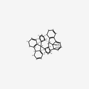 CC12CC=CC=C1C1=C(CCC=C1)[C@@]21c2ccccc2C2(C3=CC=CCC3C3=C2C=CCC3)c2cccc(Cl)c21